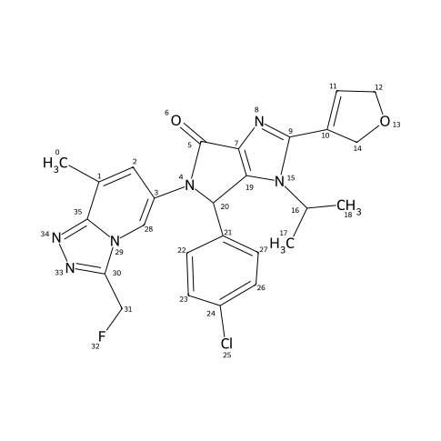 Cc1cc(N2C(=O)c3nc(C4=CCOC4)n(C(C)C)c3C2c2ccc(Cl)cc2)cn2c(CF)nnc12